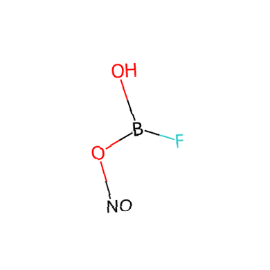 O=NOB(O)F